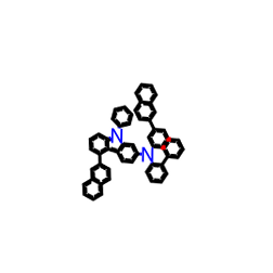 c1ccc(-c2ccccc2N(c2cccc(-c3ccc4ccccc4c3)c2)c2ccc3c4c(-c5ccc6ccccc6c5)cccc4n(-c4ccccc4)c3c2)cc1